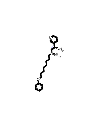 N/C(=C\N(N)CCCCCCCCOc1ccccc1)c1cccnc1